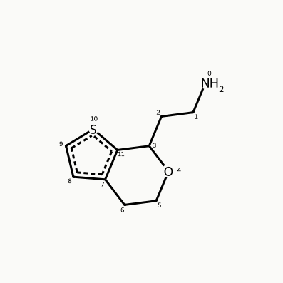 NCCC1OCCc2ccsc21